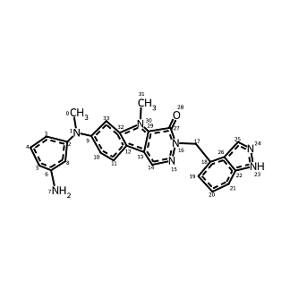 CN(c1cccc(N)c1)c1ccc2c3cnn(Cc4cccc5[nH]ncc45)c(=O)c3n(C)c2c1